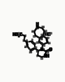 Cl.O=C(O)CCc1ccc(C2CCNC(=O)N2c2ccc3c(c2)CCNCC3)cc1